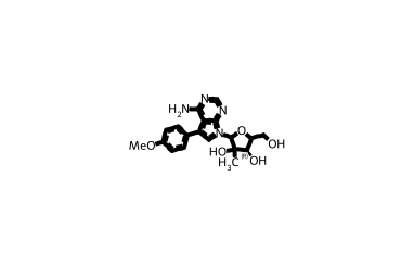 COc1ccc(-c2cn(C3OC(CO)[C@@H](O)C3(C)O)c3ncnc(N)c23)cc1